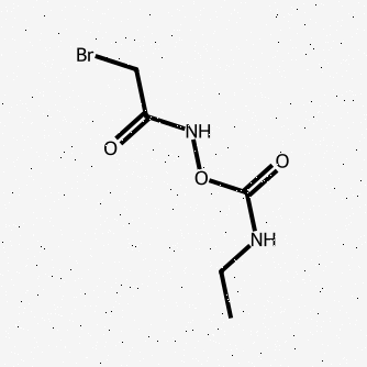 CCNC(=O)ONC(=O)CBr